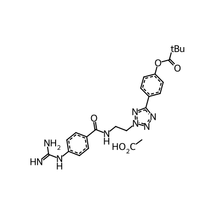 CC(=O)O.CC(C)(C)C(=O)Oc1ccc(-c2nnn(CCNC(=O)c3ccc(NC(=N)N)cc3)n2)cc1